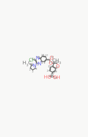 C[C@H]1CCCN1c1nc2cc(C(=O)OC3(C)COc4cc(B(O)O)ccc43)ccc2nc1Cl